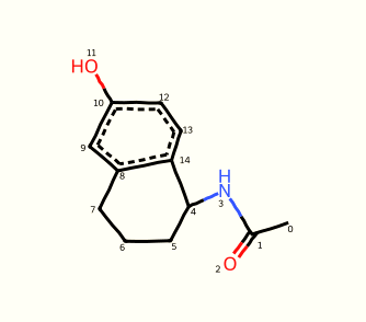 CC(=O)NC1CCCc2cc(O)ccc21